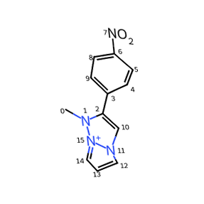 Cn1c(-c2ccc([N+](=O)[O-])cc2)cn2ccc[n+]12